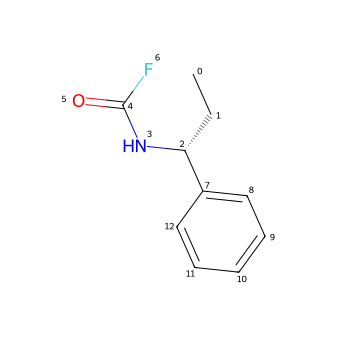 CC[C@@H](NC(=O)F)c1ccccc1